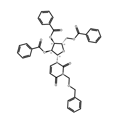 O=C(OC[C@@H]1O[C@H](n2ccc(=O)n(COCc3ccccc3)c2=O)[C@@H](OC(=O)c2ccccc2)[C@H]1OC(=O)c1ccccc1)c1ccccc1